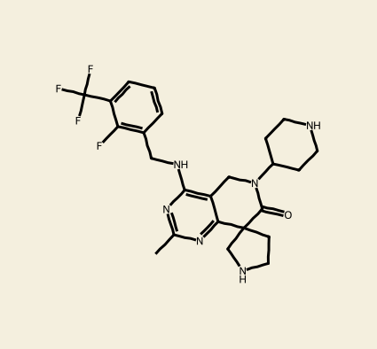 Cc1nc(NCc2cccc(C(F)(F)F)c2F)c2c(n1)C1(CCNC1)C(=O)N(C1CCNCC1)C2